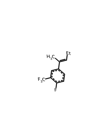 CC/C=C(\C)c1ccc(F)c(C(F)(F)F)c1